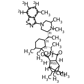 [2H]c1c([2H])c(C)c2c(N3CC(C)N(C)[C@H](C(C)[C@@H]4CCC(C)C(C)(C)[C@H]4C(C)N4C(=O)[C@@H]5[C@H]6C(C)C(C)C([C@@H]5C4=O)C6(C)C)C3)nsc2c1[2H]